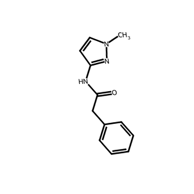 Cn1ccc(NC(=O)Cc2ccccc2)n1